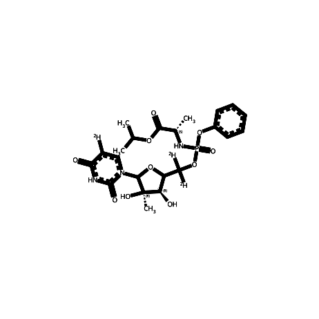 [2H]c1cn(C2OC(C([2H])([2H])OP(=O)(N[C@@H](C)C(=O)OC(C)C)Oc3ccccc3)[C@@H](O)[C@@]2(C)O)c(=O)[nH]c1=O